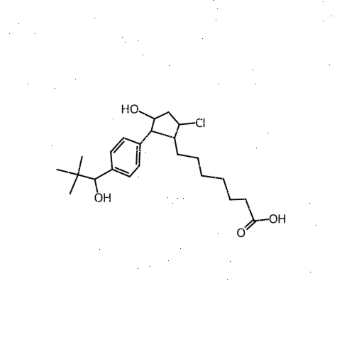 CC(C)(C)C(O)c1ccc(C2C(O)CC(Cl)C2CCCCCCC(=O)O)cc1